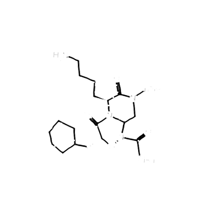 CCCCCN1CC2N(C(=O)OCC(C)C)O[C@H](CC3CCCCC3)C(=O)N2[C@@H](CCCCN)C1=O